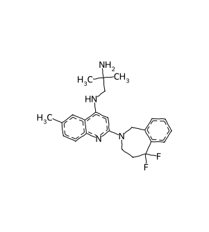 Cc1ccc2nc(N3CCC(F)(F)c4ccccc4C3)cc(NCC(C)(C)N)c2c1